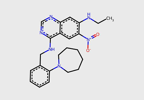 CCNc1cc2ncnc(NCc3ccccc3N3CCCCCC3)c2cc1[N+](=O)[O-]